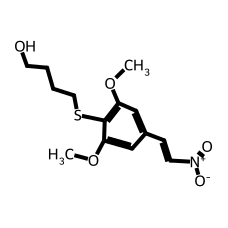 COc1cc(/C=C/[N+](=O)[O-])cc(OC)c1SCCCCO